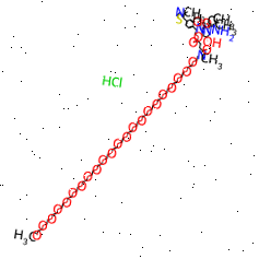 COCCOCCOCCOCCOCCOCCOCCOCCOCCOCCOCCOCCOCCOCCOCCOCCOCCOCCOCCOCCOCCOCCN(C)C(=O)CCC(=O)OC[C@@H](c1ccc(-c2scnc2C)cc1)N(C=O)[C@@H]1C[C@@H](O)CN1C(=O)[C@@H](N)C(C)(C)C.Cl